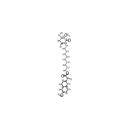 CCC1=C(OC)C(=O)C(CCCCCCCCCCOC(=O)C(C)c2ccc3cc(OC)ccc3c2)=C(C)C1